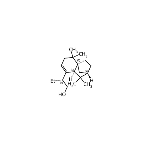 CC[C@@H](CO)C1=CCC(C)(C)[C@@]23CC[C@@H](C2)C(C)(C)[C@@H]13